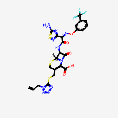 C=CCn1nnnc1SCC1=C(C(=O)O)N2C(=O)C(NC(=O)/C(=N\Oc3cccc(C(F)(F)F)c3)c3nsc(N)n3)[C@H]2SC1